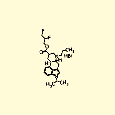 Br.CCCN1CC(C(=O)OCC(F)CF)C[C@@H]2c3cccc4c3c(cn4C(C)C)C[C@H]21